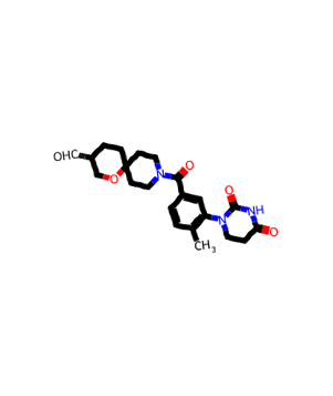 Cc1ccc(C(=O)N2CCC3(CCC(C=O)CO3)CC2)cc1N1CCC(=O)NC1=O